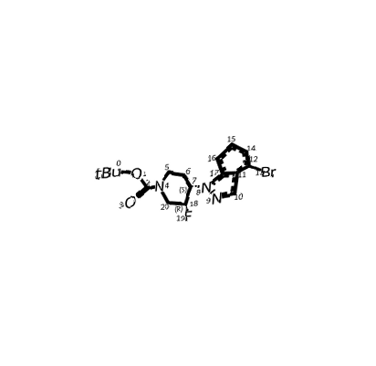 CC(C)(C)OC(=O)N1CC[C@H](n2ncc3c(Br)cccc32)[C@H](F)C1